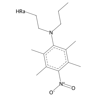 CCCN(C[CH2][RaH])c1c(C)c(C)c([N+](=O)[O-])c(C)c1C